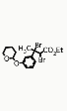 CCOC(=O)C(Br)C(C)(Br)c1cccc(OC2CCCCO2)c1